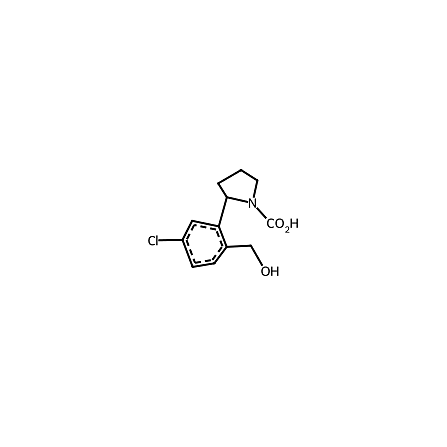 O=C(O)N1CCCC1c1cc(Cl)ccc1CO